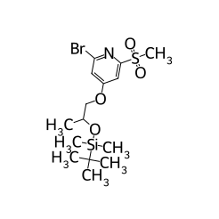 CC(COc1cc(Br)nc(S(C)(=O)=O)c1)O[Si](C)(C)C(C)(C)C